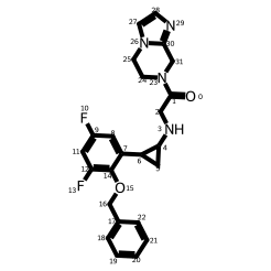 O=C(CNC1CC1c1cc(F)cc(F)c1OCc1ccccc1)N1CCn2ccnc2C1